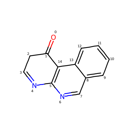 O=C1CC=Nc2ncc3ccccc3c21